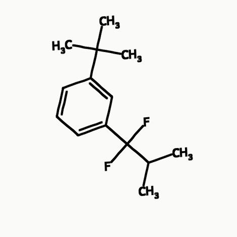 CC(C)C(F)(F)c1cccc(C(C)(C)C)c1